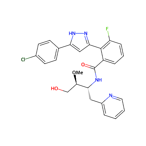 CO[C@H](CO)[C@@H](Cc1ccccn1)NC(=O)c1cccc(F)c1-c1cc(-c2ccc(Cl)cc2)[nH]n1